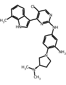 Cc1cccc2c(-c3nc(Nc4ccc(N5CC[C@@H](N(C)C)C5)c(N)c4)ncc3Cl)c[nH]c12